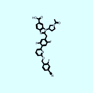 CC(=O)N1CCC(n2c(Cc3cc(F)c(-c4cccc(OCc5ccc(C#N)cc5F)n4)cc3F)nc3ccc(C(=O)O)cc32)C1